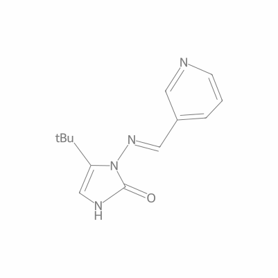 CC(C)(C)c1c[nH]c(=O)n1N=Cc1cccnc1